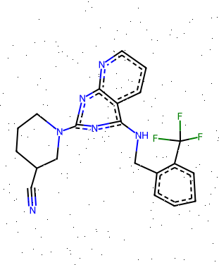 N#CC1CCCN(c2nc(NCc3ccccc3C(F)(F)F)c3cccnc3n2)C1